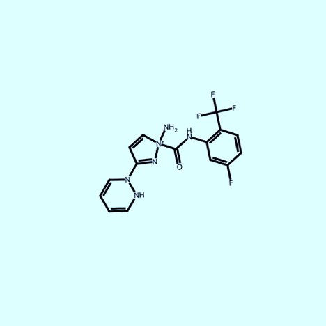 N[N+]1(C(=O)Nc2cc(F)ccc2C(F)(F)F)C=CC(N2C=CC=CN2)=N1